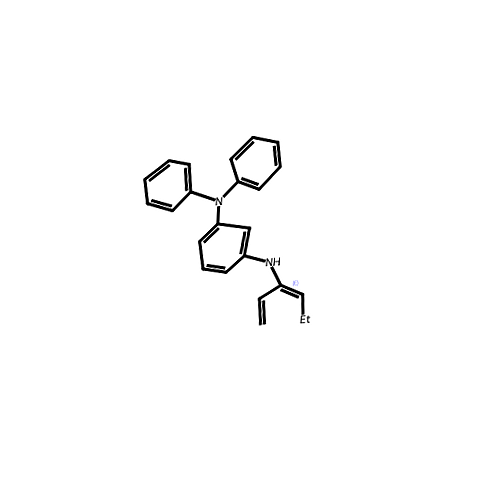 C=C/C(=C\CC)Nc1cccc(N(c2ccccc2)c2ccccc2)c1